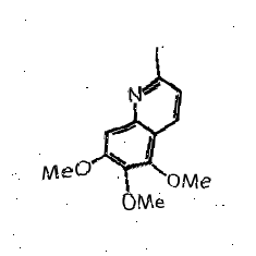 [CH2]c1ccc2c(OC)c(OC)c(OC)cc2n1